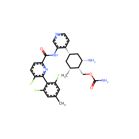 Cc1cc(F)c(-c2nc(C(=O)Nc3cnccc3[C@H]3C[C@@H](C)[C@@H](COC(N)=O)[C@@H](N)C3)ccc2F)c(F)c1